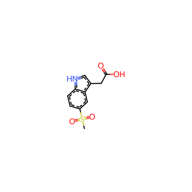 CS(=O)(=O)c1ccc2[nH]cc(CC(=O)O)c2c1